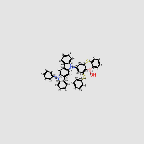 OB1c2ccccc2Sc2cc(-n3c4ccccc4c4cc5c(cc43)c3ccccc3n5-c3ccccc3)cc(Sc3ccccc3)c21